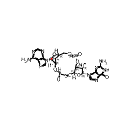 Nc1nc2c(ncn2[C@@H]2O[C@@H]3CO[PH](=O)O[C@@H]4[C@H](F)[C@@H](CO[PH](=O)O[C@H]3[C@H]2F)O[C@H]4n2cnc3c(N)ncnc32)c(=O)[nH]1